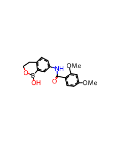 COc1ccc(C(=O)Nc2ccc3c(c2)B(O)OCC3)c(OC)c1